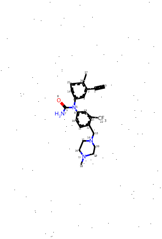 C#Cc1cc(N(C(N)=O)c2ccc(CN3CCN(C)CC3)c(C(F)(F)F)c2)ccc1C